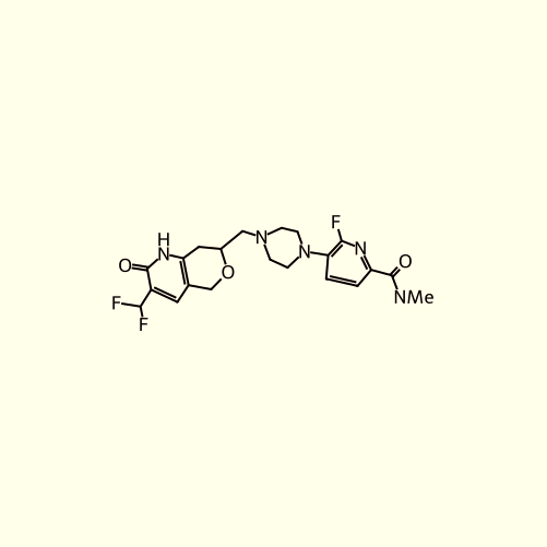 CNC(=O)c1ccc(N2CCN(CC3Cc4[nH]c(=O)c(C(F)F)cc4CO3)CC2)c(F)n1